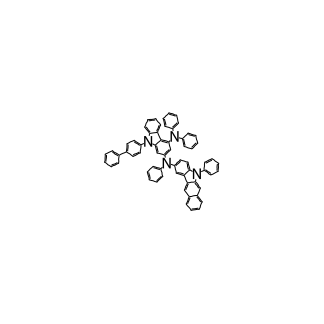 c1ccc(-c2ccc(-n3c4ccccc4c4c(N(c5ccccc5)c5ccccc5)cc(N(c5ccccc5)c5ccc6c(c5)c5cc7ccccc7cc5n6-c5ccccc5)cc43)cc2)cc1